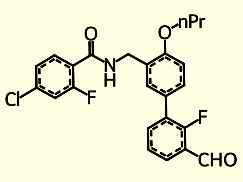 CCCOc1ccc(-c2cccc(C=O)c2F)cc1CNC(=O)c1ccc(Cl)cc1F